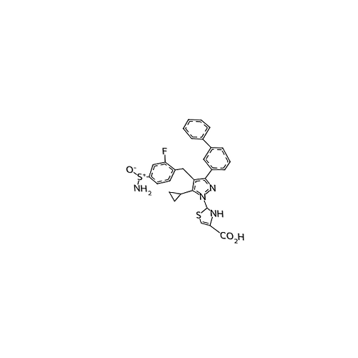 N[S+]([O-])c1ccc(Cc2c(-c3cccc(-c4ccccc4)c3)nn(C3NC(C(=O)O)=CS3)c2C2CC2)c(F)c1